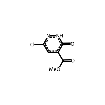 COC(=O)c1cc(Cl)n[nH]c1=O